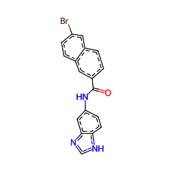 O=C(Nc1ccc2[nH]cnc2c1)c1ccc2cc(Br)ccc2c1